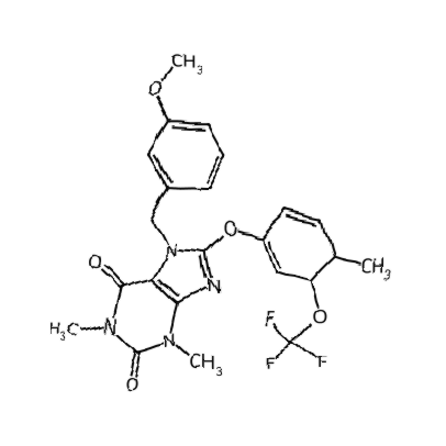 COc1cccc(Cn2c(OC3=CC(OC(F)(F)F)C(C)C=C3)nc3c2c(=O)n(C)c(=O)n3C)c1